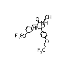 C#CNC(=O)C(Cc1ccc(OC(F)(F)F)cc1)NC(=O)c1ccc(OCCC(F)(F)F)cc1